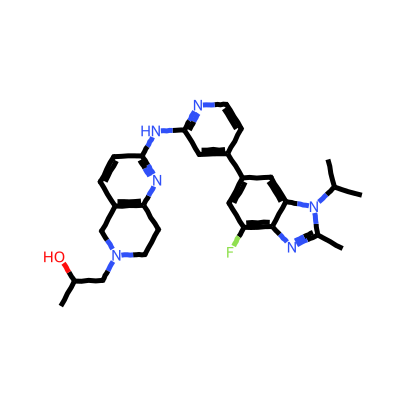 Cc1nc2c(F)cc(-c3ccnc(Nc4ccc5c(n4)CCN(CC(C)O)C5)c3)cc2n1C(C)C